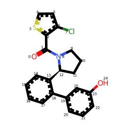 O=C(c1sccc1Cl)N1CCC[C@H]1c1ccccc1-c1cccc(O)c1